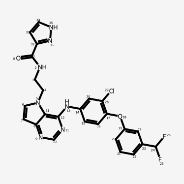 O=C(NCCn1ccc2ncnc(Nc3ccc(Oc4cccc(C(F)F)c4)c(Cl)c3)c21)c1cc[nH]n1